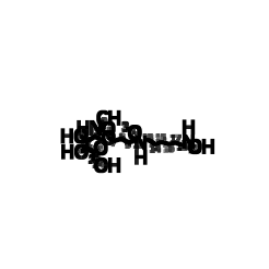 CC(=O)NC1C(OCCCC(=O)NCCCCCCNO)OC(CO)C(O)C1O